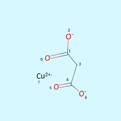 O=C([O-])CC(=O)[O-].[Cu+2]